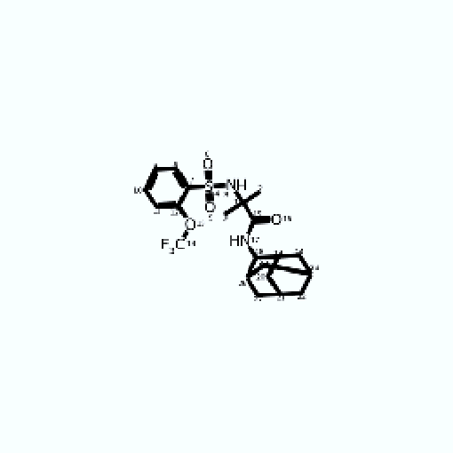 CC(C)(NS(=O)(=O)c1ccccc1OC(F)(F)F)C(=O)NC1C2CC3CC(C2)CC1C3